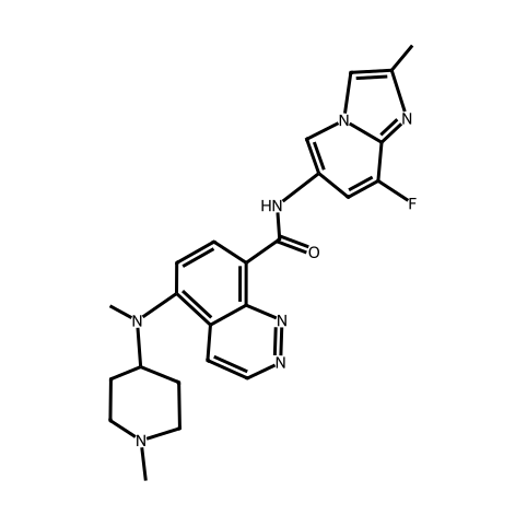 Cc1cn2cc(NC(=O)c3ccc(N(C)C4CCN(C)CC4)c4ccnnc34)cc(F)c2n1